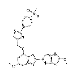 COc1cc(OCc2csc(-c3ccc(S(C)(=O)=O)cc3)n2)c2cc(-c3cn4nc(OC)sc4n3)oc2c1